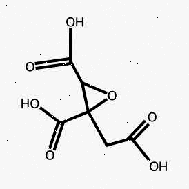 O=C(O)CC1(C(=O)O)OC1C(=O)O